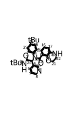 CC(C)(C)NC(=O)C(c1cccnc1)N(C(=O)c1cccc2c1OCCN2)c1ccc(C(C)(C)C)cc1